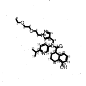 CCOCCOCCn1cc(CN(C(=O)C2CCCc3c(O)cccc32)c2ccc(C(C)C)nc2)cn1